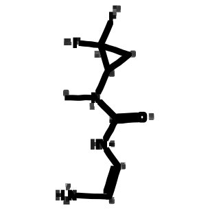 CN(C(=O)N/C=C\N)C1CC1(F)F